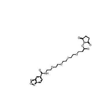 O=C(CCOCCOCCOCCOCCNC(=O)c1ccc2nonc2c1)ON1C(=O)CCC1=O